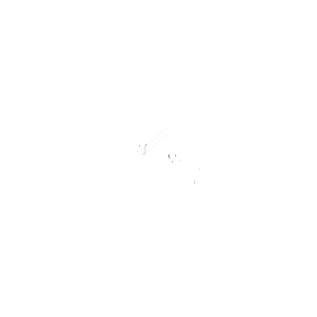 [La].[MgH2].[O]=[AlH]